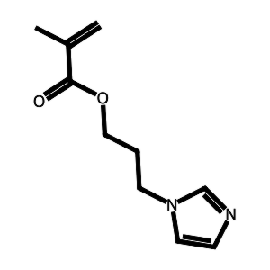 C=C(C)C(=O)OCCCn1ccnc1